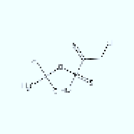 CC(Cl)(Cl)OP(O)(=S)C(=S)CCl